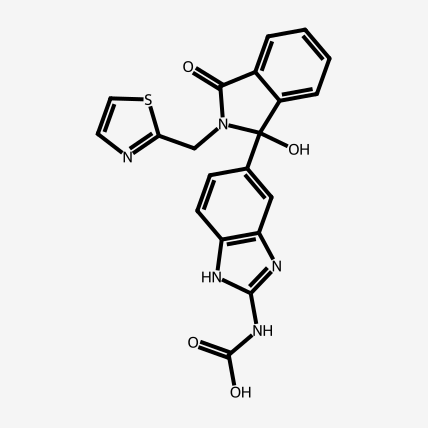 O=C(O)Nc1nc2cc(C3(O)c4ccccc4C(=O)N3Cc3nccs3)ccc2[nH]1